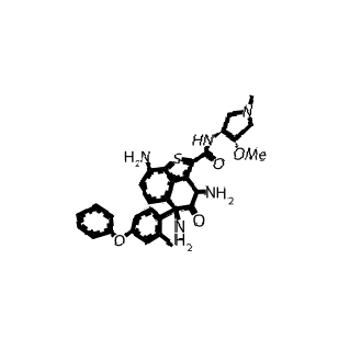 CO[C@H]1CN(C)C[C@@H]1NC(=O)c1sc2c(N)ccc3c2c1C(N)C(=O)C3(N)c1ccc(Oc2ccccc2)cc1C